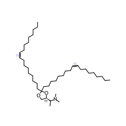 CCCCCCCC/C=C\CCCCCCCCC1(CCCCCCCC/C=C\CCCCCCCC)OC[C@H](C(C)N(C)C)O1